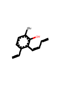 C=C/C=C\c1c(C=C)ccc(C(C)(C)C)c1O